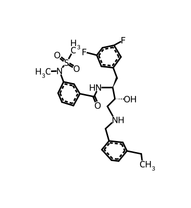 CCc1cccc(CNC[C@@H](O)[C@H](Cc2cc(F)cc(F)c2)NC(=O)c2cccc(N(C)S(C)(=O)=O)c2)c1